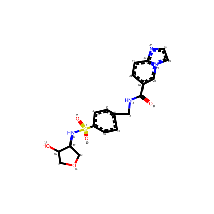 O=C(NCc1ccc(S(=O)(=O)NC2COCC2O)cc1)c1ccc2nccn2c1